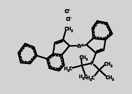 CC1=Cc2c(-c3ccccc3)cccc2[CH]1[Zr+2][CH]1C(P(C(C)(C)C)C(C)(C)C)=Cc2ccccc21.[Cl-].[Cl-]